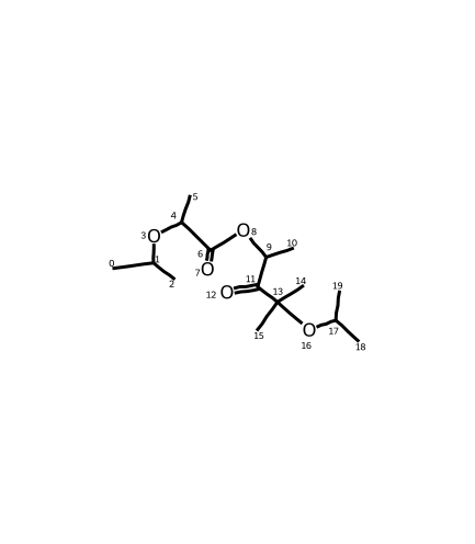 CC(C)OC(C)C(=O)OC(C)C(=O)C(C)(C)OC(C)C